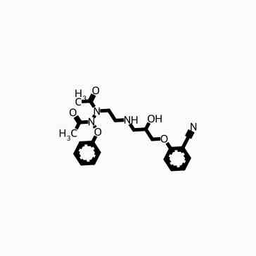 CC(=O)N(CCNCC(O)COc1ccccc1C#N)N(Oc1ccccc1)C(C)=O